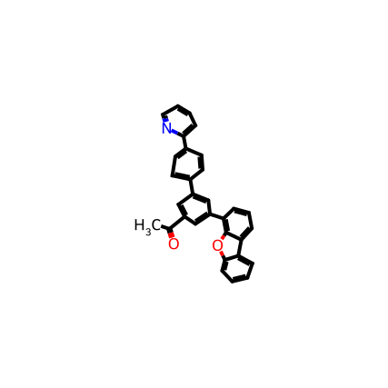 CC(=O)c1cc(-c2ccc(-c3ccccn3)cc2)cc(-c2cccc3c2oc2ccccc23)c1